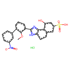 COc1c(-c2cccc([N+](=O)[O-])c2)cccc1-c1nc2c(ccc3cc(S(=O)(=O)O)cc(O)c32)[nH]1.Cl